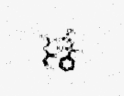 C=CC(=O)OCC.C[SiH](C)O[Si](C)(C)c1ccccc1